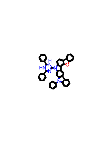 c1ccc(C2N=C(n3c4cc5c(cc4c4c6oc7ccccc7c6ccc43)c3ccccc3n5-c3ccccc3)NC(c3ccccc3)N2)cc1